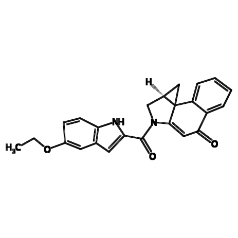 CCOc1ccc2[nH]c(C(=O)N3C[C@H]4CC45C3=CC(=O)c3ccccc35)cc2c1